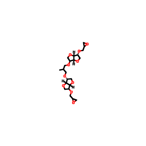 CC(CO[C@H]1CO[C@H]2[C@@H]1OC[C@H]2OCC1CO1)CO[C@@H]1CO[C@H]2[C@@H]1OC[C@@H]2OCC1CO1